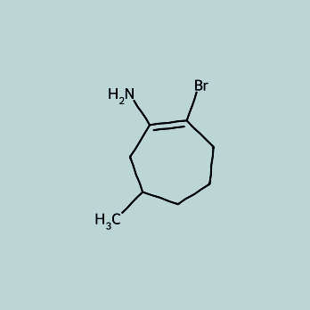 CC1CCCC(Br)=C(N)C1